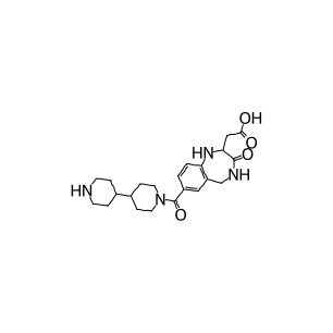 O=C(O)CC1Nc2ccc(C(=O)N3CCC(C4CCNCC4)CC3)cc2CNC1=O